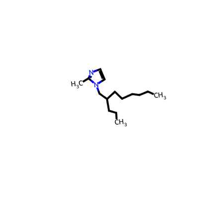 CCCCCCC(CCC)Cn1ccnc1C